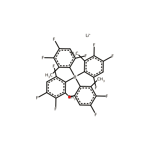 Cc1c(F)c(F)cc(F)c1[B-](c1c(F)cc(F)c(F)c1C)(c1c(F)cc(F)c(F)c1C)c1c(F)cc(F)c(F)c1C.[Li+]